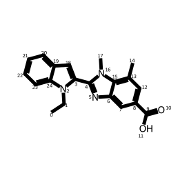 CCn1c(-c2nc3cc(C(=O)O)cc(C)c3n2C)cc2ccccc21